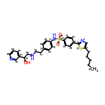 CCCCCc1cnc(-c2ccc(S(=O)(=O)Nc3ccc(CCNCC(O)c4cccnc4)cc3)cc2)s1